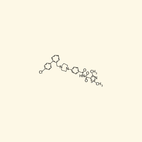 Cc1nc(C)c(S(=O)(=O)NC(=O)c2ccc(N3CCN(Cc4ccccc4-c4ccc(Cl)cc4)CC3)cc2)s1